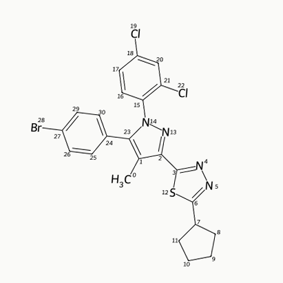 Cc1c(-c2nnc(C3CCCC3)s2)nn(-c2ccc(Cl)cc2Cl)c1-c1ccc(Br)cc1